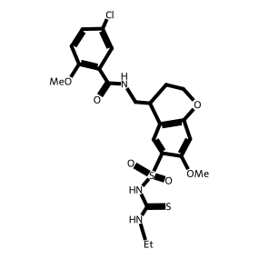 CCNC(=S)NS(=O)(=O)c1cc2c(cc1OC)OCCC2CNC(=O)c1cc(Cl)ccc1OC